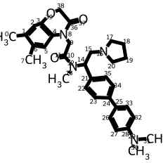 Cc1cc2c(cc1C)N(CC(=O)N(C)C(CN1CCCC1)c1ccc(-c3ccc(N(C)C)cc3)cc1)C(=O)CO2